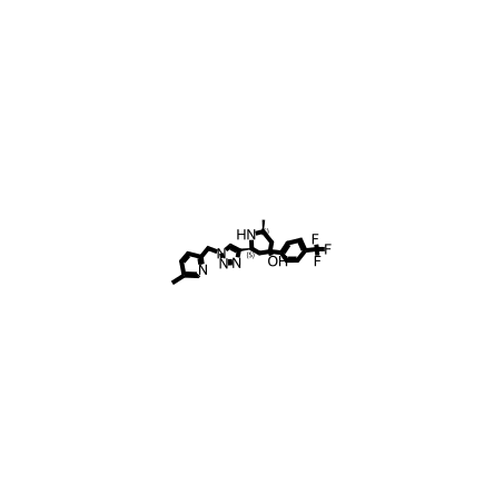 Cc1ccc(Cn2cc([C@@H]3CC(O)(c4ccc(C(F)(F)F)cc4)C[C@H](C)N3)nn2)nc1